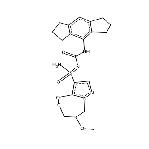 COC1CCOc2c(S(N)(=O)=NC(=O)Nc3c4c(cc5c3CCC5)CCC4)cnn2C1